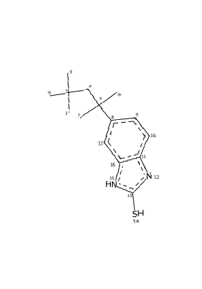 CC(C)(C)CC(C)(C)c1ccc2nc(S)[nH]c2c1